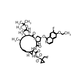 CCOc1cc2ccnc(O[C@@H]3C[C@H]4C(=O)N[C@]5(C(=O)NS(=O)(=O)C6(CF)CC6)C[C@H]5/C=C\CC[C@@H](C)C[C@@H](C)[C@H](NC(=O)OC(C)(C)C)C(=O)N4C3)c2cc1F